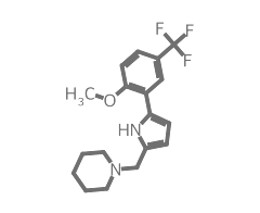 COc1ccc(C(F)(F)F)cc1-c1ccc(CN2CCCCC2)[nH]1